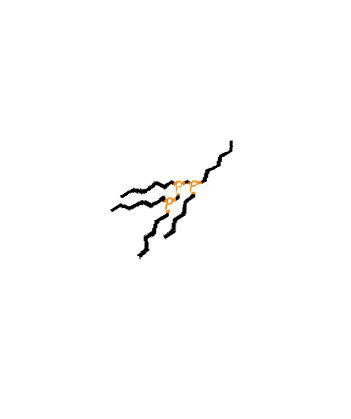 CCCCCCP(CCCCCC)CP(CCCCCC)CP(CCCCCC)CCCCCC